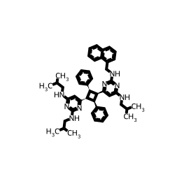 CC(C)CNc1cc([C@H]2[C@@H](c3ccccc3)[C@H](c3cc(NCC(C)C)nc(NCC(C)C)n3)[C@@H]2c2ccccc2)nc(NCc2cccc3ccccc23)n1